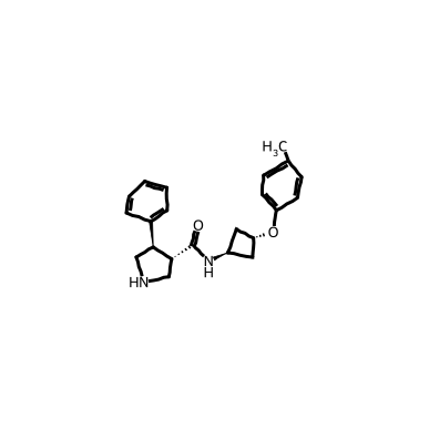 Cc1ccc(O[C@H]2C[C@H](NC(=O)[C@@H]3CNC[C@H]3c3ccccc3)C2)cc1